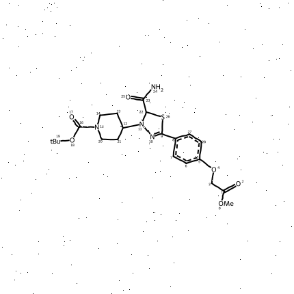 COC(=O)COc1ccc(C2=NN(C3CCN(C(=O)OC(C)(C)C)CC3)C(C(N)=O)S2)cc1